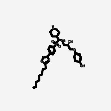 CCCCCCCCc1nc(-c2ccc(S(=O)(=O)C(NC[C@H](O)COc3ccc(O)cc3)C3CCNCC3)cc2)no1